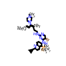 CCC/C(CCNC1=NC(Nc2ccc3nc(C4CC4)ccc3c2[PH](C)(C)C)C(Br)C=N1)=C(/C=C/OC)N1CCN(C)CC1